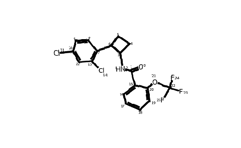 O=C(NC1CCC1c1ccc(Cl)cc1Cl)c1ccccc1OC(F)(F)F